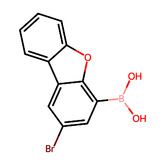 OB(O)c1cc(Br)cc2c1oc1ccccc12